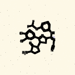 N#C/N=C(/Nc1cccc(OC(F)F)c1)N1CC(N2CCC(N)C2=O)C(c2ccc(Cl)c(Cl)c2)=N1